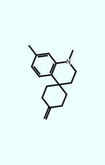 C=C1CCC2(CC1)CCN(C)c1cc(C)ccc12